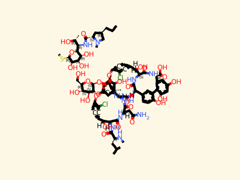 CCC[C@@H]1C[C@@H](C(=O)N[C@@H]([C@H]2O[C@H](SC)[C@H](O)[C@@H](O)[C@H]2O)[C@@H](C)O)N(C)C1.CN[C@H](CC(C)C)C(=O)N[C@H]1C(=O)N[C@@H](CC(N)=O)C(=O)N[C@H]2C(=O)N[C@H]3C(=O)N[C@H](C(=O)N[C@@H](C(=O)O)c4cc(O)cc(O)c4-c4cc3ccc4O)[C@H](O)c3ccc(c(Cl)c3)Oc3cc2cc(c3O[C@@H]2O[C@H](CO)[C@@H](O)[C@H](O)[C@H]2O[C@H]2C[C@](C)(N)C(O)[C@H](C)O2)Oc2ccc(cc2Cl)[C@H]1O